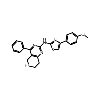 COc1ccc(-c2csc(Nc3nc4c(c(-c5ccccc5)n3)CNCC4)n2)cc1